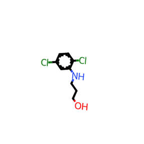 OCCCNc1cc(Cl)ccc1Cl